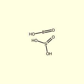 O=BO.O=[Si](O)O